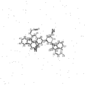 C#C/C=C\C(=C(/C)c1cc(C#N)cc(C2=CC(n3c(C)c(/C=C\CC)c4ccccc43)CC(C#N)=C2)c1)n1c2ccccc2c2ccccc21